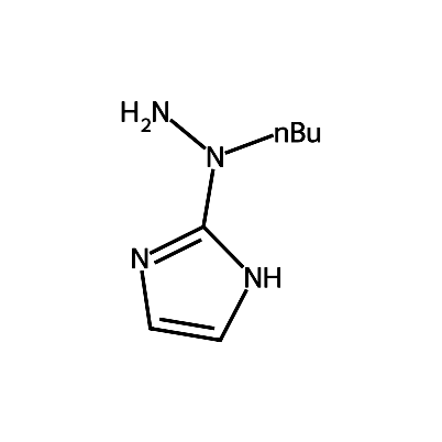 CCCCN(N)c1ncc[nH]1